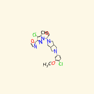 COc1cc(N2CC3CN(C(C=O)n4nc(-c5ncco5)c(Cl)c4C)CC3C2)ccc1Cl